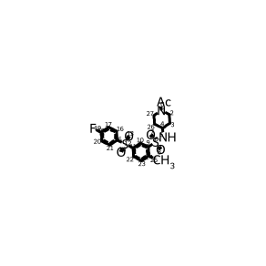 CC(=O)N1CCC(NS(=O)(=O)c2cc(S(=O)(=O)c3ccc(F)cc3)ccc2C)CC1